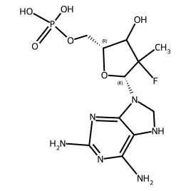 CC1(F)C(O)[C@@H](COP(=O)(O)O)O[C@H]1N1CNc2c(N)nc(N)nc21